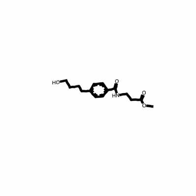 COC(=O)CCNC(=O)c1ccc(CCCCO)cc1